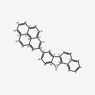 c1ccc2c(c1)ccc1c3cc(-c4cc5ccc6cccc7ccc(c4)c5c67)ccc3oc21